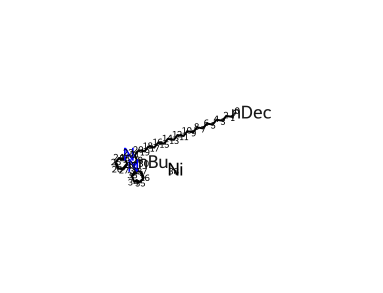 CCCCCCCCCCCCCCCCCCCCCCCCCCCCCCC(=Nc1ccccc1)C(CCCC)=Nc1ccccc1.[Ni]